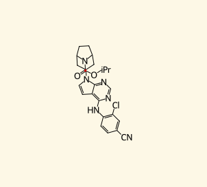 CC(C)OC(=O)N1C2CCC1CC(n1ccc3c(Nc4ccc(C#N)cc4Cl)ncnc31)C2